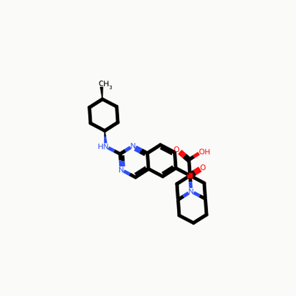 C[C@H]1CC[C@@H](Nc2ncc3cc(C(=O)N4C5CCCC4CC(C(=O)O)C5)ccc3n2)CC1